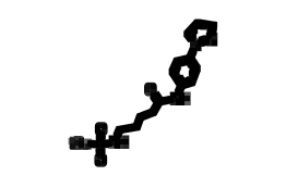 CC(C)(C)S(=O)(=O)NCCCCC(=O)Nc1ccc(-n2cccn2)cc1